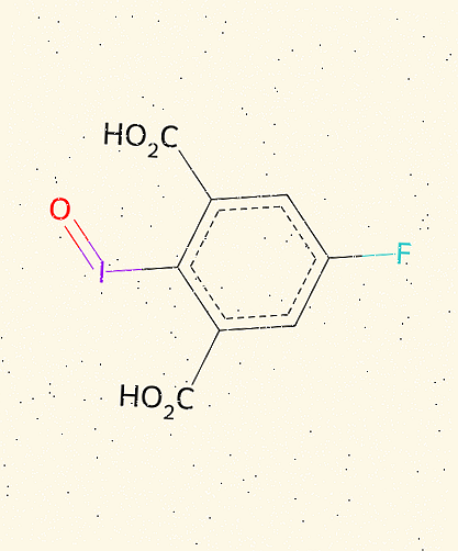 O=Ic1c(C(=O)O)cc(F)cc1C(=O)O